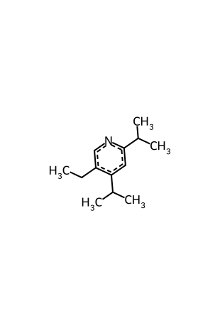 CCc1cnc(C(C)C)cc1C(C)C